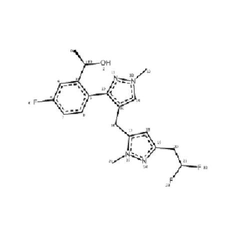 C[C@@H](O)c1cc(F)ccc1-c1nn(C)cc1Cc1cc(CC(F)F)nn1C